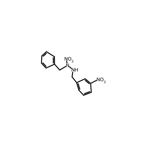 O=[N+]([O-])c1cccc(CNN(Cc2ccccc2)[N+](=O)[O-])c1